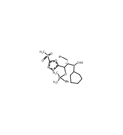 CC(C)C[C@@H](C(O[Si](C)(C)C(C)(C)C)c1nnc(S(C)(=O)=O)o1)N(C=O)C1CCCCC1